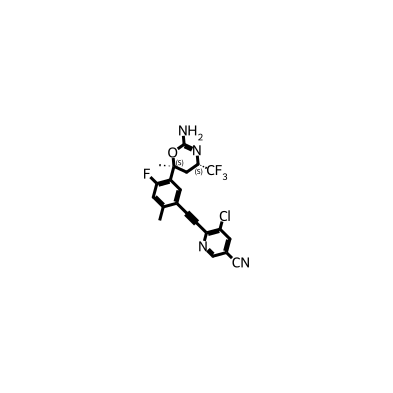 Cc1cc(F)c([C@]2(C)C[C@@H](C(F)(F)F)N=C(N)O2)cc1C#Cc1ncc(C#N)cc1Cl